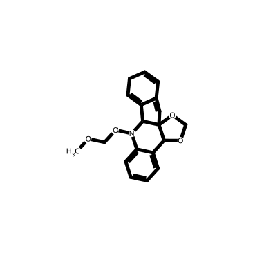 COCON1c2ccccc2C2OCOC23C=C2C=CCC=C2C13